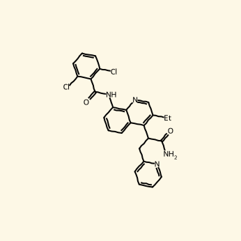 CCc1cnc2c(NC(=O)c3c(Cl)cccc3Cl)cccc2c1C(Cc1ccccn1)C(N)=O